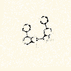 Nn1c(-c2n[nH]c3ncc(-c4cccnc4)cc23)nc2c(-c3cccnc3)cncc21